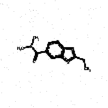 CCc1nc2ccc(C(=O)N(C)C)cc2s1